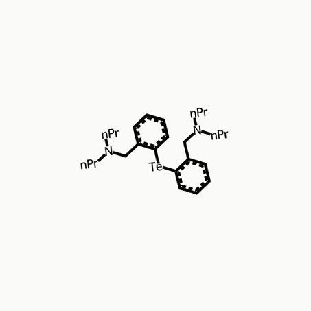 CCCN(CCC)Cc1ccccc1[Te]c1ccccc1CN(CCC)CCC